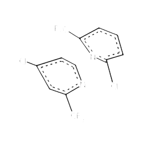 FC(F)(F)c1cc(Cl)ccn1.FC(F)(F)c1cccc(Cl)n1